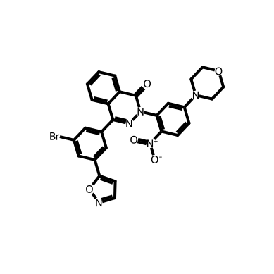 O=c1c2ccccc2c(-c2cc(Br)cc(-c3ccno3)c2)nn1-c1cc(N2CCOCC2)ccc1[N+](=O)[O-]